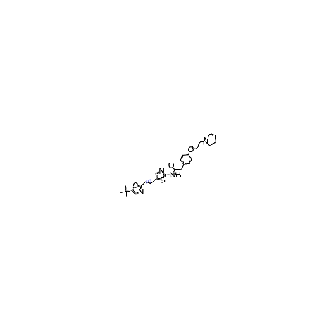 CC(C)(C)c1cnc(/C=C/c2cnc(NC(=O)Cc3ccc(OCCN4CCCC4)cc3)s2)o1